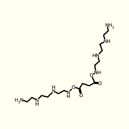 NCCNCCNCCNOC(=O)CCC(=O)ONCCNCCNCCN